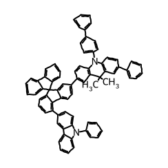 CC1(C)c2cc(-c3ccccc3)ccc2N(c2ccc(-c3ccccc3)cc2)c2ccc(-c3ccc4c(c3)C3(c5ccccc5-c5ccccc53)c3cccc(-c5ccc6c(c5)c5ccccc5n6-c5ccccc5)c3-4)cc21